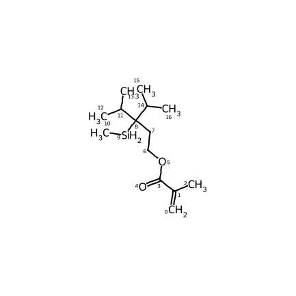 C=C(C)C(=O)OCCC([SiH2]C)(C(C)C)C(C)C